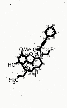 C=CCN1CC[C@]23c4c5c(O)cc(OC)c4O[C@H]2[C@H](N(CC(C)C)C(=O)C#Cc2ccccc2)CC[C@H]3[C@H]1C5